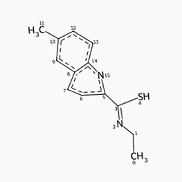 CC/N=C(\S)c1ccc2cc(C)ccc2n1